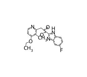 CCOc1ccnc(CS(=O)(=O)c2nc3cc(F)ccc3[nH]2)c1C